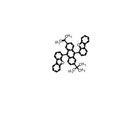 C=C(C)c1ccc2c(-c3cccc4c3oc3ccccc34)c3cc(C(C)(C)C)ccc3c(-c3cccc4c3oc3ccccc34)c2c1